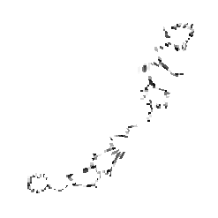 O=C(Cc1ccccn1)Nc1nnc(CCCCc2cc3cc(Cc4ccccc4)[nH]c3nn2)s1